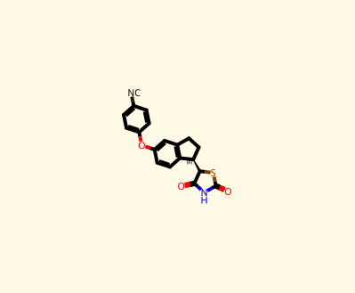 [C-]#[N+]c1ccc(Oc2ccc3c(c2)CC[C@H]3C2SC(=O)NC2=O)cc1